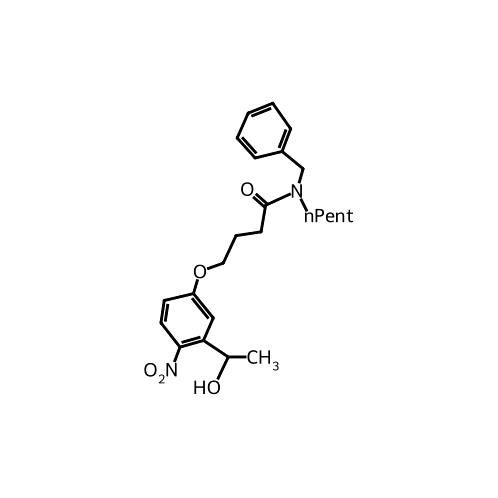 CCCCCN(Cc1ccccc1)C(=O)CCCOc1ccc([N+](=O)[O-])c(C(C)O)c1